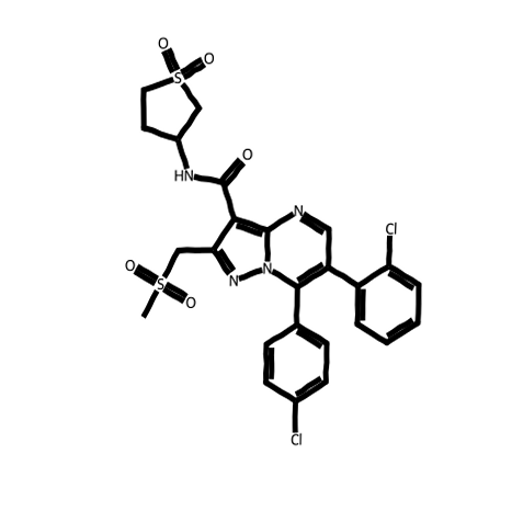 CS(=O)(=O)Cc1nn2c(-c3ccc(Cl)cc3)c(-c3ccccc3Cl)cnc2c1C(=O)NC1CCS(=O)(=O)C1